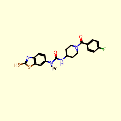 CC(C)N(C(=O)NC1CCN(C(=O)c2ccc(F)cc2)CC1)c1ccc2nc(S)sc2c1